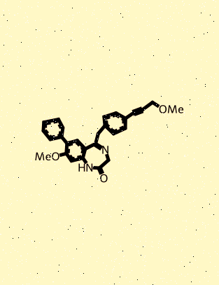 COCC#Cc1ccc(CC2=NCC(=O)Nc3cc(OC)c(-c4ccccc4)cc32)cc1